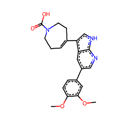 COc1ccc(-c2cnc3[nH]cc(C4=CCCN(C(=O)O)CC4)c3c2)cc1OC